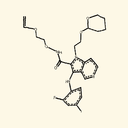 C=COCCONC(=O)c1c(Nc2ccc(I)cc2F)c2cnccc2n1CCOC1CCCCO1